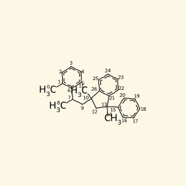 Cc1ccccc1C(C)CC1(C)CC(C)(c2ccccc2)c2ccccc21